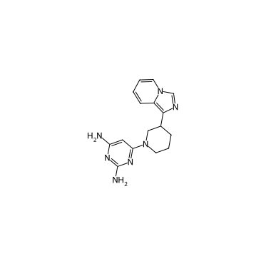 Nc1cc(N2CCCC(c3ncn4ccccc34)C2)nc(N)n1